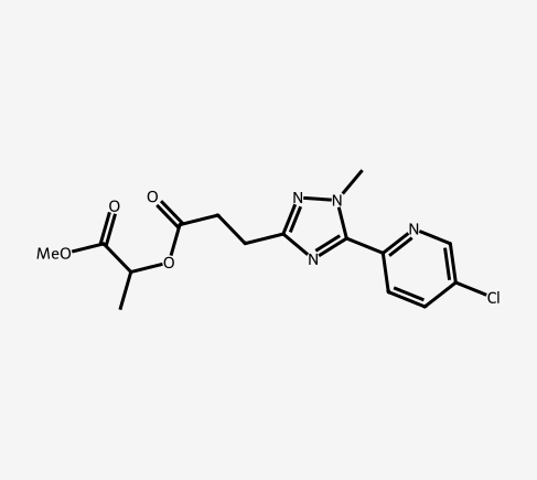 COC(=O)C(C)OC(=O)CCc1nc(-c2ccc(Cl)cn2)n(C)n1